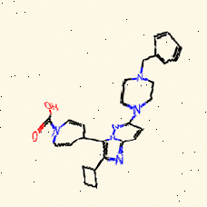 O=C(O)N1C=CC(c2c(C3CCC3)nc3ccc(N4CCN(Cc5ccccc5)CC4)nn23)C=C1